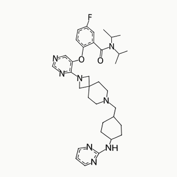 CC(C)N(C(=O)c1cc(F)ccc1Oc1cncnc1N1CC2(CCN(CC3CCC(Nc4ncccn4)CC3)CC2)C1)C(C)C